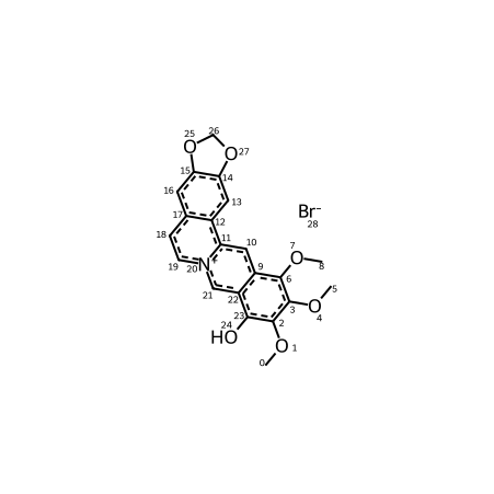 COc1c(OC)c(OC)c2cc3c4cc5c(cc4cc[n+]3cc2c1O)OCO5.[Br-]